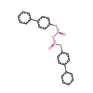 O=[PH](O[PH](=O)Sc1ccc(-c2ccccc2)cc1)Sc1ccc(-c2ccccc2)cc1